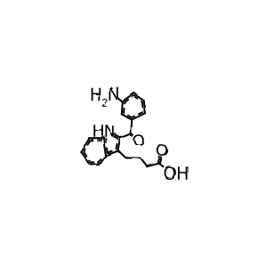 Nc1cccc(C(=O)c2[nH]c3ccccc3c2CCCC(=O)O)c1